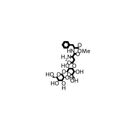 COC(=O)C(Cc1ccccc1)NC(=O)C(N)CC(=O)O[C@@H]1[C@@H](O)[C@@H](O[C@H]2O[C@H](CO)[C@@H](O)[C@H](O)[C@H]2O)O[C@H](CO)[C@H]1O